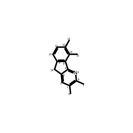 Cc1cc2c(nc1C)-c1c(ccc(C)c1C)C2